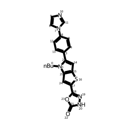 CCCCn1c(-c2ccc(-n3ccnc3)cc2)cc2sc(-c3n[nH]c(=O)o3)cc21